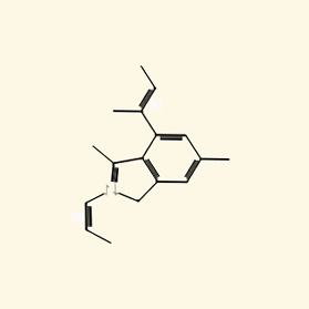 C/C=C\[N+]1=C(C)c2c(cc(C)cc2/C(C)=C/C)C1